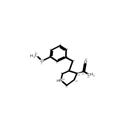 COc1cccc(CC2CNCC[C@@H]2C(C)=O)c1